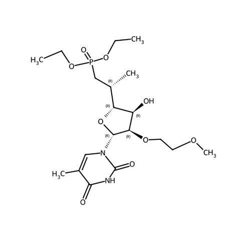 CCOP(=O)(C[C@H](C)[C@H]1O[C@@H](n2cc(C)c(=O)[nH]c2=O)[C@H](OCCOC)[C@@H]1O)OCC